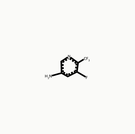 Nc1cnc(C(F)(F)F)c(F)c1